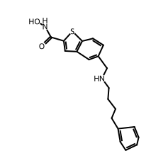 O=C(NO)c1cc2cc(CNCCCCc3ccccc3)ccc2s1